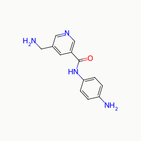 NCc1cncc(C(=O)Nc2ccc(N)cc2)c1